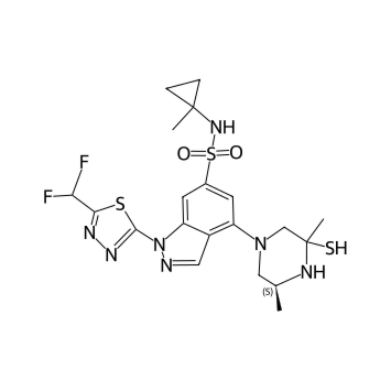 C[C@H]1CN(c2cc(S(=O)(=O)NC3(C)CC3)cc3c2cnn3-c2nnc(C(F)F)s2)CC(C)(S)N1